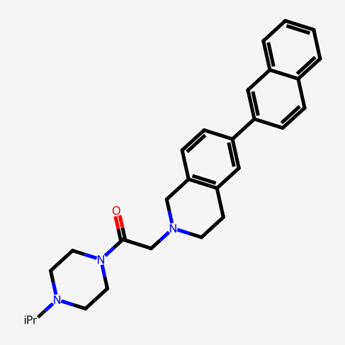 CC(C)N1CCN(C(=O)CN2CCc3cc(-c4ccc5ccccc5c4)ccc3C2)CC1